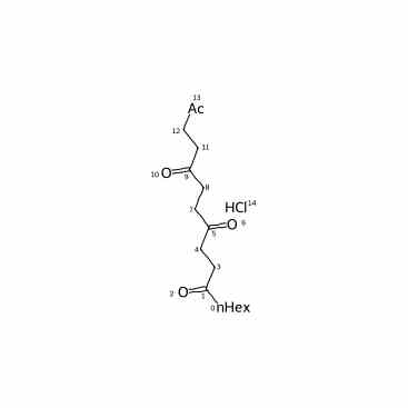 CCCCCCC(=O)CCC(=O)CCC(=O)CCC(C)=O.Cl